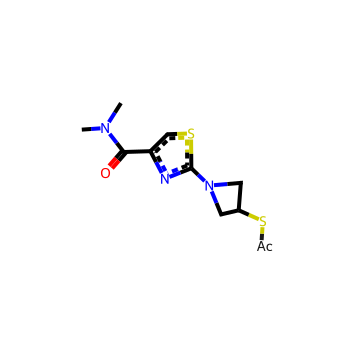 CC(=O)SC1CN(c2nc(C(=O)N(C)C)cs2)C1